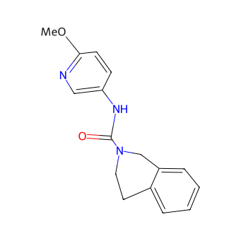 COc1ccc(NC(=O)N2CCc3ccccc3C2)cn1